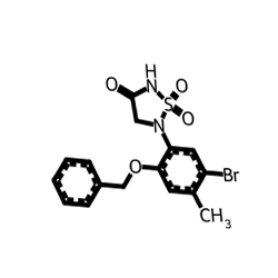 Cc1cc(OCc2ccccc2)c(N2CC(=O)NS2(=O)=O)cc1Br